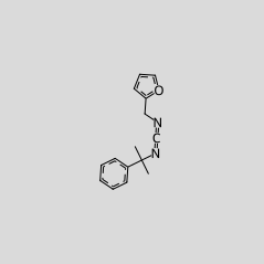 CC(C)(N=C=NCc1ccco1)c1ccccc1